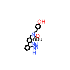 CCCCC(=O)N(CCc1ccc(O)cc1)Cc1ccc(-c2ccccc2-c2nnn[nH]2)cc1